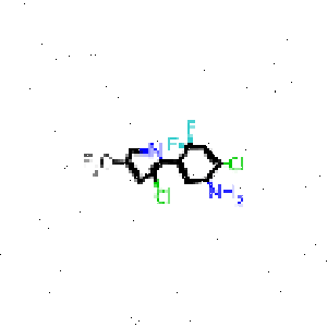 NC1C=C(c2ncc(C(F)(F)F)cc2Cl)C(F)(F)C=C1Cl